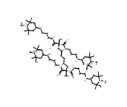 CCCCC(CCCCCCC(CCCC)(C(=O)OCCCOC1CC(C)(C)N(O)C(C)(C)C1)C(=O)OCCCOC1CC(C)(C)N(O)C(C)(C)C1)(C(=O)OCCCOC1CC(C)(C)N(C)C(C)(C)C1)C(=O)OCCCOC1CC(C)(C)N(O)C(C)(C)C1